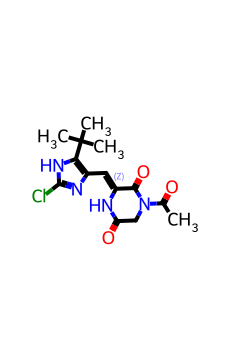 CC(=O)N1CC(=O)N/C(=C\c2nc(Cl)[nH]c2C(C)(C)C)C1=O